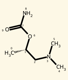 C[C@@H](CN(C)C)OC(N)=O